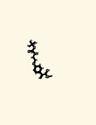 C=C(C(=O)OC)c1ccc(OCCNC(=O)OC(C)(C)C)cc1